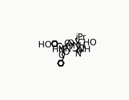 CC(C)C[C@@H](C=O)NC(=O)[C@H](Cc1c[nH]cn1)NC(=O)[C@H](Cc1ccc(O)cc1)NC(=O)OCc1ccccc1